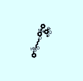 COc1cc(-n2c(-c3ccccc3)nc3ccc(OCCCCCC(=O)NOCc4ccccc4)cc32)cc(OC)c1OC